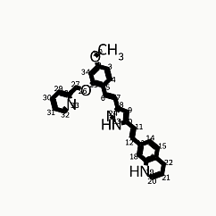 COc1ccc(/C=C/c2cc(/C=C/c3ccc4c(c3)NC=CC4)[nH]n2)c(OCc2ccccn2)c1